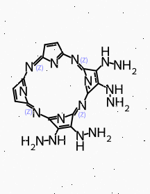 NNC1=C(NN)/C2=N/C3=NC(=N\C4=NC(=N\C5=NC(=N\C1=N2)/C(NN)=C5NN)/C=C4)/C=C3